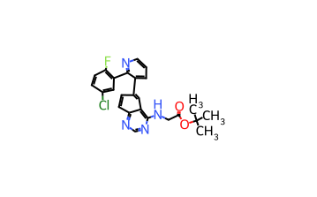 CC(C)(C)OC(=O)CNc1ncnc2ccc(-c3cccnc3-c3cc(Cl)ccc3F)cc12